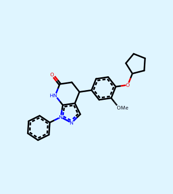 COc1cc(C2CC(=O)Nc3c2cnn3-c2ccccc2)ccc1OC1CCCC1